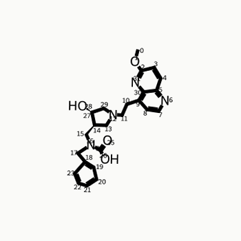 COc1ccc2nccc(CCN3C[C@@H](CN(Cc4ccccc4)C(=O)O)[C@H](O)C3)c2n1